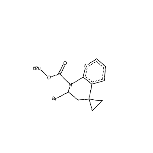 CC(C)(C)OC(=O)N1c2ncccc2C2(CC2)CC1Br